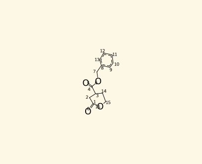 O=C1CC(C(=O)OCc2ccccc2)CCO1